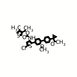 COc1cc(-c2sc(Cl)cc2NC(=O)OC(C)c2cscc2C)ccc1-c1ccc(C2(C(C)=O)CC2)cc1